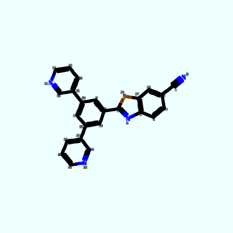 N#Cc1ccc2nc(-c3cc(-c4cccnc4)cc(-c4cccnc4)c3)sc2c1